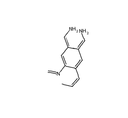 C=Nc1cc(=C/N)/c(=C\N)cc1/C=C\C